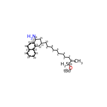 CC(CCCCCCCCCC1Cc2c(ccc3ccccc23)C(N)C1)[SiH2]OC(C)(C)C